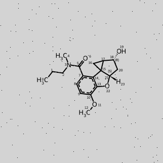 CCCN(C)C(=O)c1ccc(OC)c2c1C13CC1[C@H](O)C[C@@H]3O2